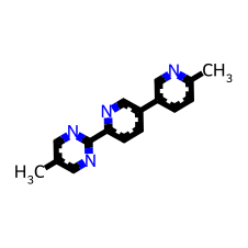 Cc1cnc(-c2ccc(-c3ccc(C)nc3)cn2)nc1